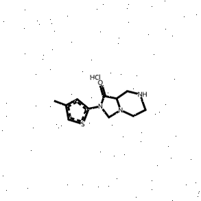 Cc1csc(N2CN3CCNCC3C2=O)c1.Cl